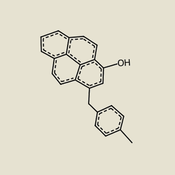 Cc1ccc(Cc2cc(O)c3ccc4cccc5ccc2c3c45)cc1